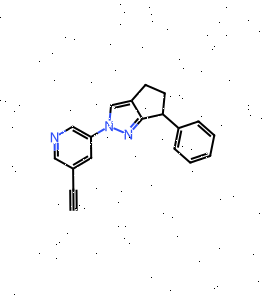 C#Cc1cncc(-n2cc3c(n2)C(c2ccccc2)CC3)c1